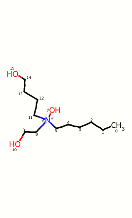 CCCCCC[N+](O)(CCO)CCCCO